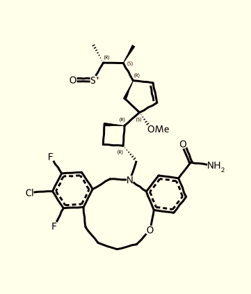 CO[C@@]1([C@@H]2CC[C@H]2CN2Cc3cc(F)c(Cl)c(F)c3CCCCOc3ccc(C(N)=O)cc32)C=C[C@H]([C@H](C)[C@@H](C)[S+]=O)C1